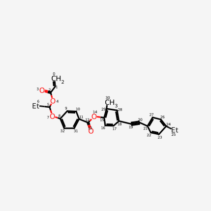 C=CC(=O)OC(CC)Oc1ccc(C(=O)Oc2ccc(C#Cc3ccc(CC)cc3)cc2C)cc1